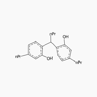 CCCc1ccc(C(CCC)c2ccc(CCC)cc2O)c(O)c1